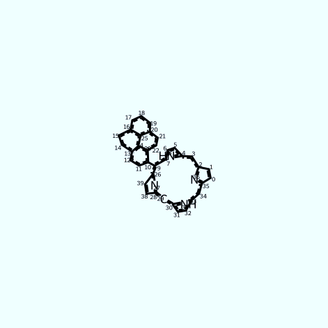 C1=Cc2cc3ccc([nH]3)c(-c3ccc4ccc5cccc6ccc3c4c56)c3nc(cc4ccc(cc1n2)[nH]4)C=C3